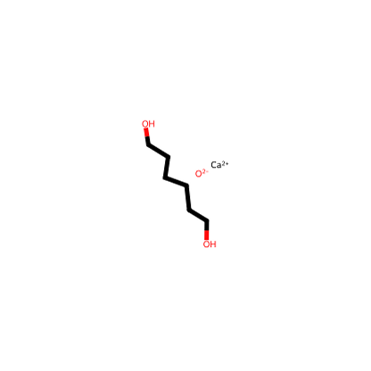 OCCCCCCO.[Ca+2].[O-2]